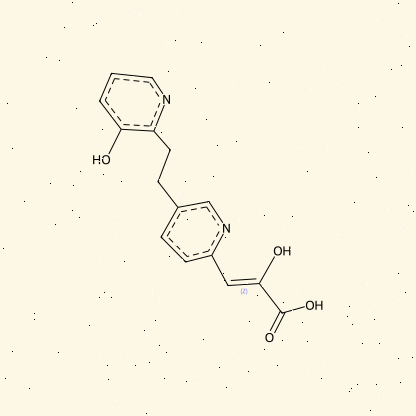 O=C(O)/C(O)=C/c1ccc(CCc2ncccc2O)cn1